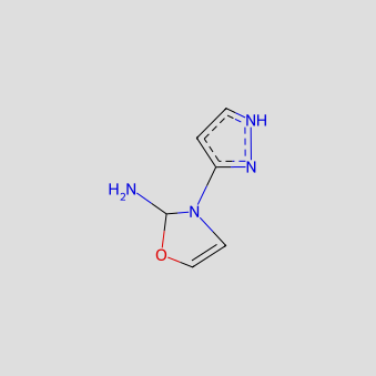 NC1OC=CN1c1cc[nH]n1